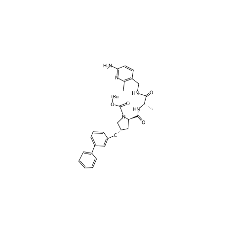 Cc1nc(N)ccc1CNC(=O)[C@H](C)NC(=O)[C@H]1C[C@H](Cc2cccc(-c3ccccc3)c2)CN1C(=O)OC(C)(C)C